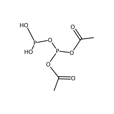 CC(=O)OP(OC(C)=O)OP(O)O